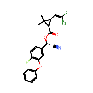 CC1(C)[C@H](C(=O)O[C@H](C#N)c2ccc(F)c(Oc3ccccc3)c2)[C@@H]1C=C(Cl)Cl